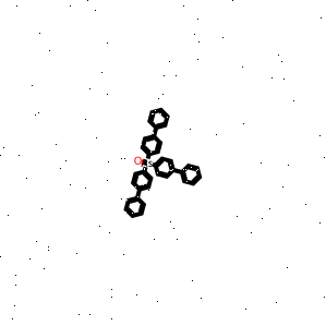 O=[As](c1ccc(-c2ccccc2)cc1)(c1ccc(-c2ccccc2)cc1)c1ccc(-c2ccccc2)cc1